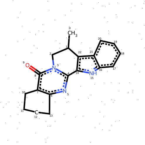 CC1Cn2c(nc3c(c2=O)CCCC3)-c2[nH]c3ccccc3c21